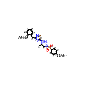 COc1ccc(S(=O)(=O)NCC(C)Nc2nc(Cc3ccccc3OC)ns2)cc1